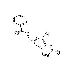 O=C(OCc1cc2cnc(Cl)cc2c(Cl)n1)c1ccccc1